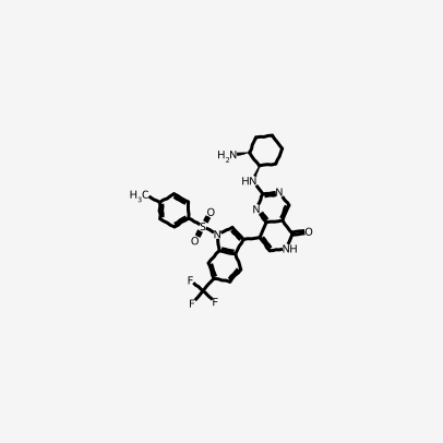 Cc1ccc(S(=O)(=O)n2cc(-c3c[nH]c(=O)c4cnc(N[C@@H]5CCCC[C@@H]5N)nc34)c3ccc(C(F)(F)F)cc32)cc1